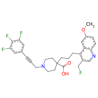 COc1ccc2ncc(CF)c(CCCC3(C(=O)O)CCN(CC#Cc4cc(F)c(F)c(F)c4)CC3)c2c1